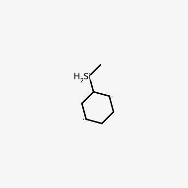 C[SiH2]C1[CH]CC[CH]C1